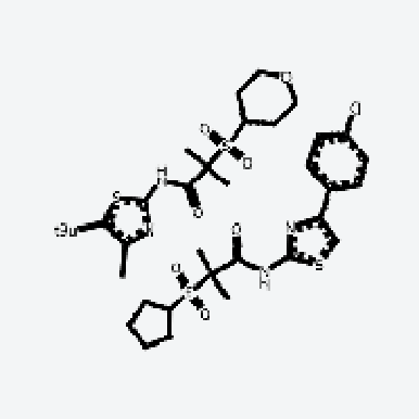 CC(C)(C(=O)Nc1nc(-c2ccc(Cl)cc2)cs1)S(=O)(=O)C1CCCC1.Cc1nc(NC(=O)C(C)(C)S(=O)(=O)C2CCOCC2)sc1C(C)(C)C